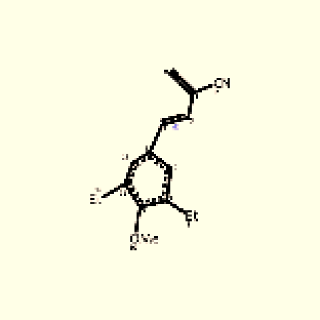 C=C(C#N)/C=C/c1cc(CC)c(OC)c(CC)c1